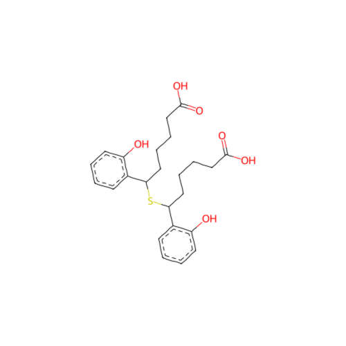 O=C(O)CCCCC(SC(CCCCC(=O)O)c1ccccc1O)c1ccccc1O